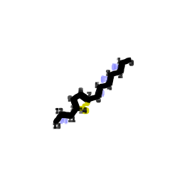 C/C=C/C=C/C=C/c1ccc(/C=C/C)s1